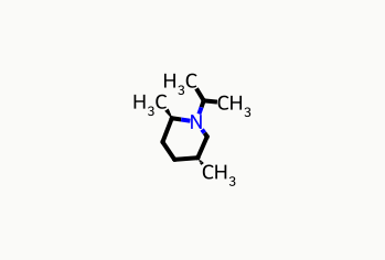 CC(C)N1C[C@H](C)CC[C@H]1C